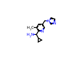 Cc1cc(Cn2ccnc2)cnc1C(N)C1CC1